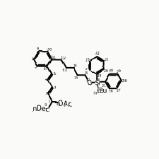 CCCCCCCCCCC(/C=C/C=C/c1ccccc1CCCCCO[Si](c1ccccc1)(c1ccccc1)C(C)(C)C)OC(C)=O